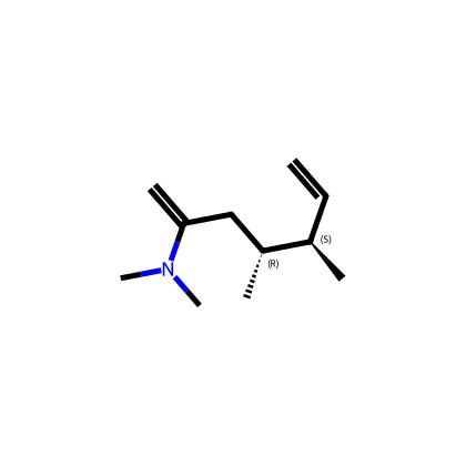 C=C[C@@H](C)[C@H](C)CC(=C)N(C)C